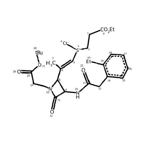 CCOC(=O)CC[S+]([O-])C=C(C)C1C(NC(=O)Cc2ccccc2CC)C(=O)N1CC(=O)OC(C)(C)C